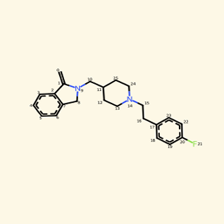 C=C1c2ccccc2CN1CC1CCN(CCc2ccc(F)cc2)CC1